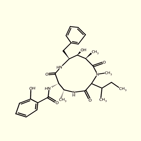 CCC(C)C1C(=O)N[C@H](C)[C@H](NC(=O)c2ccccc2O)C(=O)N[C@@H](Cc2ccccc2)[C@@H](O)[C@@H](C)C(=O)N1C